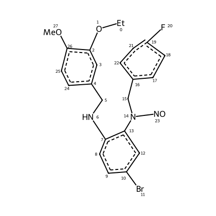 CCOc1cc(CNc2ccc(Br)cc2N(Cc2ccc(F)cc2)N=O)ccc1OC